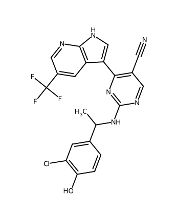 CC(Nc1ncc(C#N)c(-c2c[nH]c3ncc(C(F)(F)F)cc23)n1)c1ccc(O)c(Cl)c1